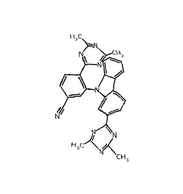 Cc1nc(C)nc(-c2ccc3c4ccccc4n(-c4cc(C#N)ccc4-c4nc(C)nc(C)n4)c3c2)n1